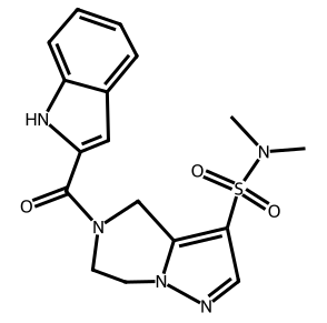 CN(C)S(=O)(=O)c1cnn2c1CN(C(=O)c1cc3ccccc3[nH]1)CC2